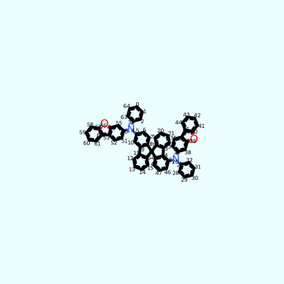 c1ccc(N(c2ccc3c(c2)-c2ccccc2C32c3ccccc3-c3c(N(c4ccccc4)c4ccc5c(c4)oc4ccccc45)cccc32)c2ccc3c(c2)oc2ccccc23)cc1